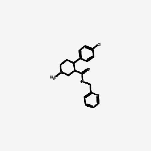 CN1CCC(c2ccc(Cl)cc2)C(C(=O)NCc2ccccn2)C1